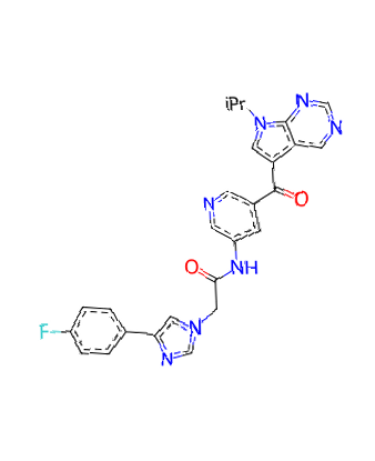 CC(C)n1cc(C(=O)c2cncc(NC(=O)Cn3cnc(-c4ccc(F)cc4)c3)c2)c2cncnc21